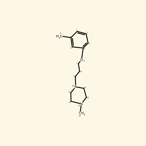 [CH2]c1cccc(OCCCN2CCN(C)CC2)c1